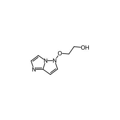 OCCOn1ccc2nccn21